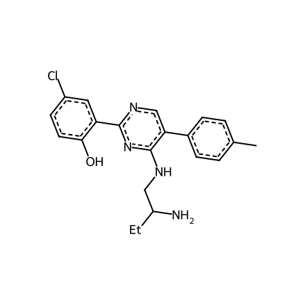 CCC(N)CNc1nc(-c2cc(Cl)ccc2O)ncc1-c1ccc(C)cc1